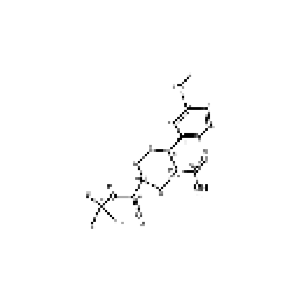 COc1cccc([C@@H]2CCN(C(=O)OC(C)(C)C)C[C@@H]2C(=O)O)c1